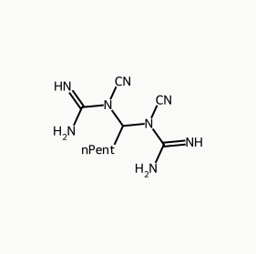 CCCCCC(N(C#N)C(=N)N)N(C#N)C(=N)N